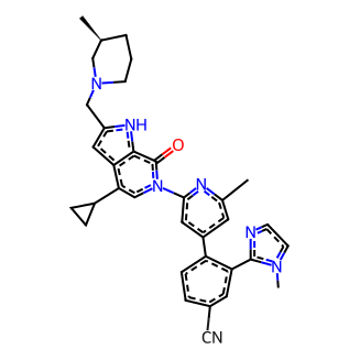 Cc1cc(-c2ccc(C#N)cc2-c2nccn2C)cc(-n2cc(C3CC3)c3cc(CN4CCC[C@H](C)C4)[nH]c3c2=O)n1